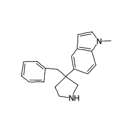 Cn1ccc2cc(C3(Cc4ccccc4)CCNC3)ccc21